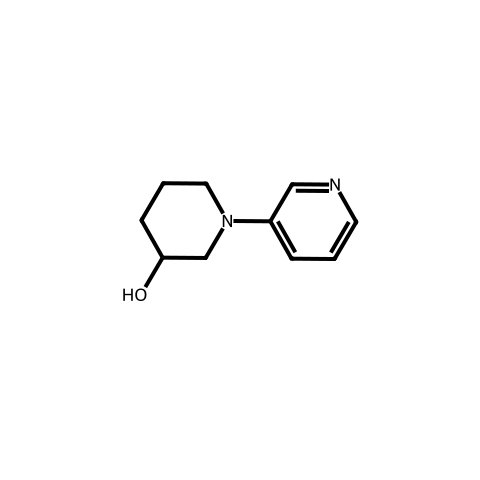 OC1CCCN(c2cccnc2)C1